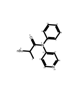 CCCCC(C)C(=O)N(c1ccccc1)c1ccncc1